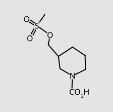 CS(=O)(=O)OCC1CCCN(C(=O)O)C1